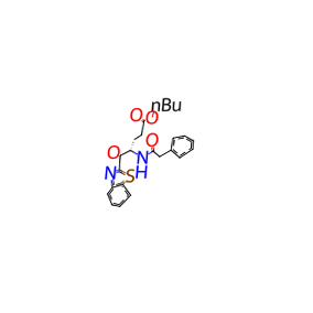 CCCCOC(=O)CC[C@H](NC(=O)Cc1ccccc1)C(=O)c1nc2ccccc2s1